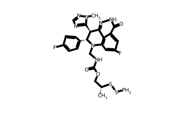 C[C@H](COC(=O)NCN1c2cc(F)cc3c(=O)[nH]nc(c23)[C@H](c2ncnn2C)[C@H]1c1ccc(F)cc1)SSP